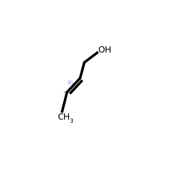 C/[C]=C/CO